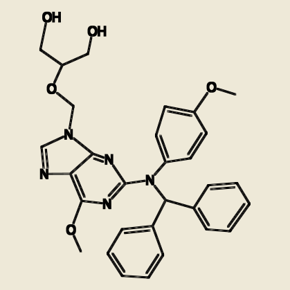 COc1ccc(N(c2nc(OC)c3ncn(COC(CO)CO)c3n2)C(c2ccccc2)c2ccccc2)cc1